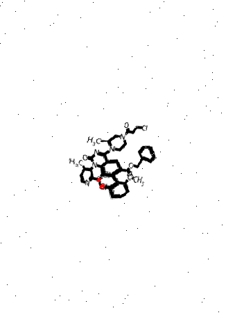 COc1cccc2c1-c1c(C(=O)OCc3ccccc3)cc3c(N4CCN(C(=O)CCCl)C[C@@H]4C)nc(=O)n(-c4c(C)ccnc4C(C)C)c3c1OC2